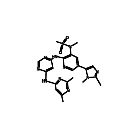 Cc1cc(Nc2cc(Nc3ncc(-c4cnc(C)n4C)cc3N(C)S(C)(=O)=O)ncn2)nc(C)n1